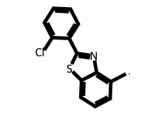 [CH2]c1cccc2sc(-c3ccccc3Cl)nc12